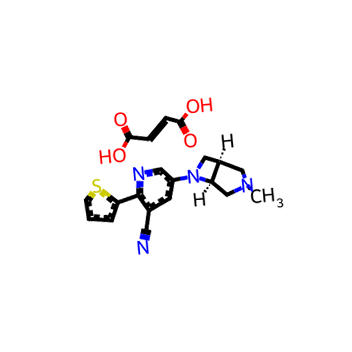 CN1C[C@@H]2CN(c3cnc(-c4cccs4)c(C#N)c3)[C@@H]2C1.O=C(O)C=CC(=O)O